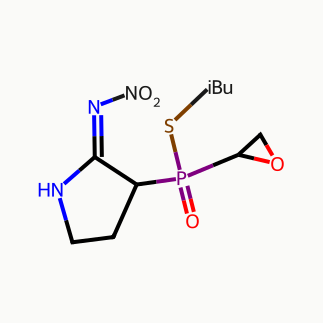 CCC(C)SP(=O)(C1CO1)C1CCN/C1=N/[N+](=O)[O-]